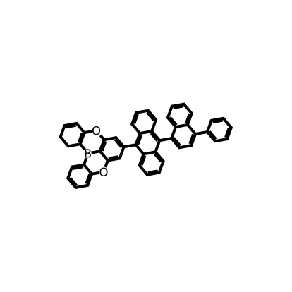 C1=CC2=C(CC1)B1c3ccccc3Oc3cc(-c4c5ccccc5c(-c5ccc(-c6ccccc6)c6ccccc56)c5ccccc45)cc(c31)O2